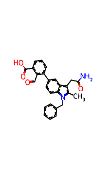 Cc1c(CC(N)=O)c2cc(-c3cccc(C(=O)O)c3C=O)ccc2n1Cc1ccccc1